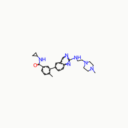 Cc1ccc(C(=O)NC2CC2)cc1-c1ccc2nc(NCCN3CCN(C)CC3)ncc2c1